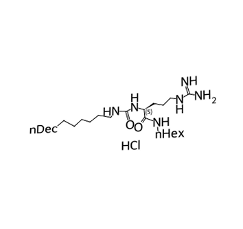 CCCCCCCCCCCCCCCCNC(=O)N[C@@H](CCCNC(=N)N)C(=O)NCCCCCC.Cl